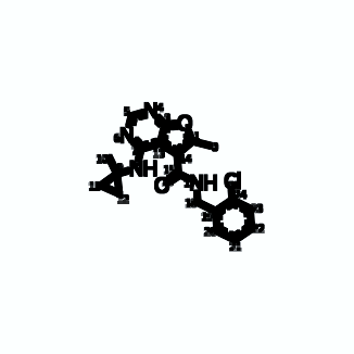 Cc1oc2ncnc(NC3(C)CC3)c2c1C(=O)NCc1ccccc1Cl